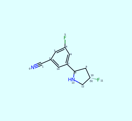 N#Cc1cc(F)cc(C2C[C@H](F)CN2)c1